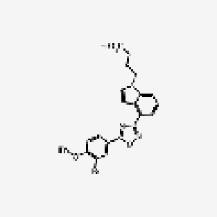 CCOC(=O)CCCn1ccc2c(-c3noc(-c4ccc(OC(C)C)c(Br)c4)n3)cccc21